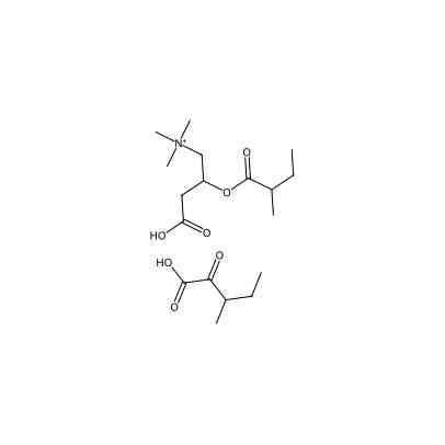 CCC(C)C(=O)C(=O)O.CCC(C)C(=O)OC(CC(=O)O)C[N+](C)(C)C